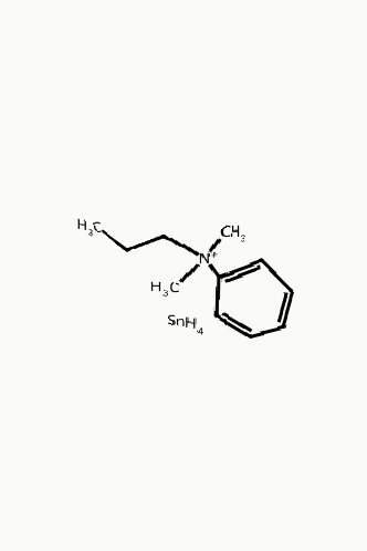 CCC[N+](C)(C)c1ccccc1.[SnH4]